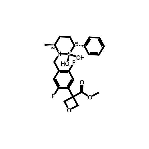 COC(=O)C1(c2cc(F)c(CN3[C@@H](C)CC[C@H](c4ccccc4)S3(O)O)cc2F)COC1